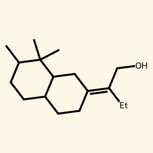 CC/C(CO)=C1\CCC2CCC(C)C(C)(C)C2C1